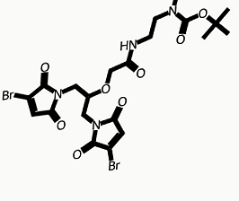 CN(CCNC(=O)COC(CN1C(=O)C=C(Br)C1=O)CN1C(=O)C=C(Br)C1=O)C(=O)OC(C)(C)C